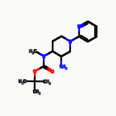 CN(C(=O)OC(C)(C)C)C1CCN(c2ccccn2)CC1N